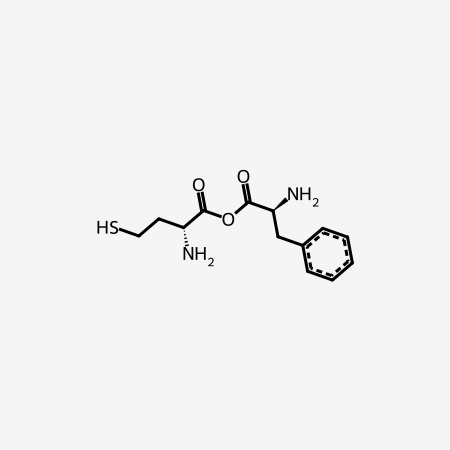 N[C@H](CCS)C(=O)OC(=O)[C@@H](N)Cc1ccccc1